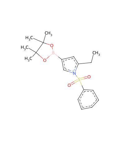 CCc1cc(B2OC(C)(C)C(C)(C)O2)cn1S(=O)(=O)c1ccccc1